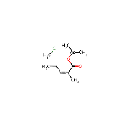 CCC=C(C)C(=O)O[As](C)C.CCl